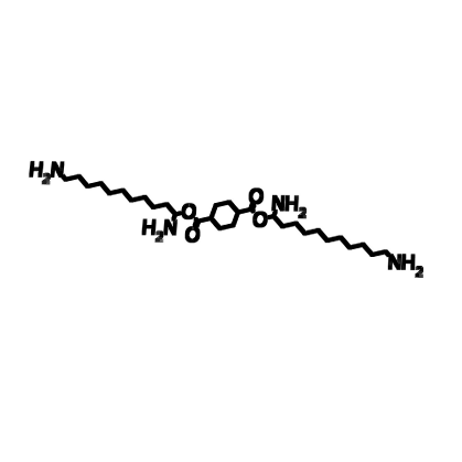 NCCCCCCCCCCC(N)OC(=O)C1CCC(C(=O)OC(N)CCCCCCCCCCN)CC1